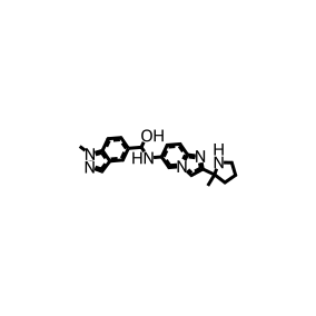 Cn1ncc2cc(C(O)Nc3ccc4nc(C5(C)CCCN5)cn4c3)ccc21